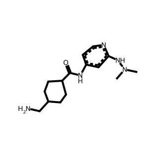 CN(C)Nc1cc(NC(=O)C2CCC(CN)CC2)ccn1